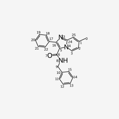 Cc1ccn2c(C(=O)NCc3ccccc3)c(-c3ccccc3)nc2c1